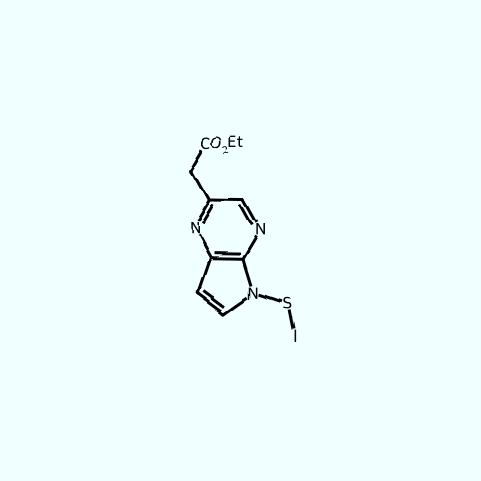 CCOC(=O)Cc1cnc2c(ccn2SI)n1